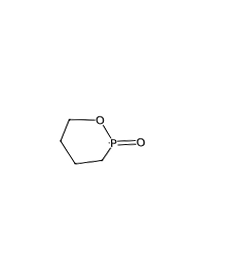 O=[P]1CCCCO1